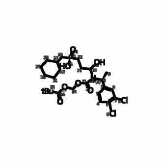 C[C@@H](c1ccc(Cl)c(Cl)c1)N(C(=O)OCOC(=O)C(C)(C)C)C(O)CCP(=O)(O)CC1CCCCC1